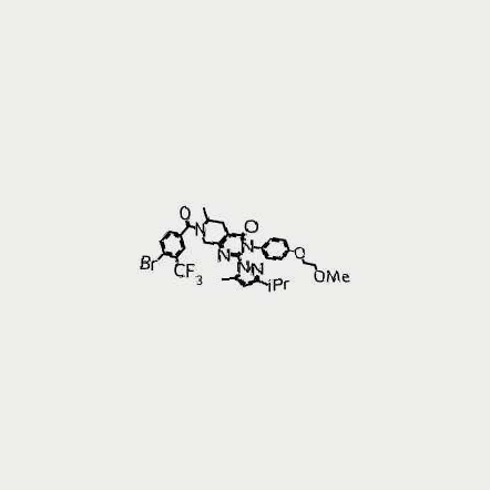 COCCOc1ccc(-n2c(-n3nc(C(C)C)cc3C)nc3c(c2=O)CC(C)N(C(=O)c2ccc(Br)c(C(F)(F)F)c2)C3)cc1